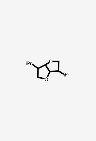 CC(C)C1COC2C(C(C)C)COC12